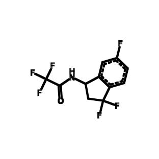 O=C(NC1CC(F)(F)c2ccc(F)cc21)C(F)(F)F